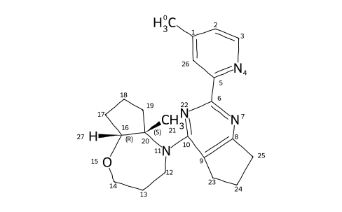 Cc1ccnc(-c2nc3c(c(N4CCCO[C@@H]5CCC[C@@]54C)n2)CCC3)c1